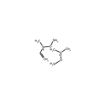 C=C[SiH](C)O[SiH3].C[SiH](C)O[SiH3]